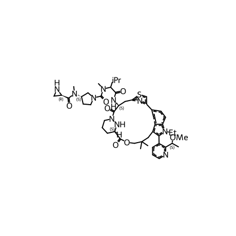 CCn1c(-c2cccnc2[C@H](C)OC)c2c3cc(ccc31)-c1csc(n1)C[C@H](NC(=O)C(C(C)C)N(C)C(=O)N1CC[C@H](N(C)C(=O)[C@H]3CN3)C1)C(=O)N1CCC[C@H](N1)C(=O)OCC(C)(C)C2